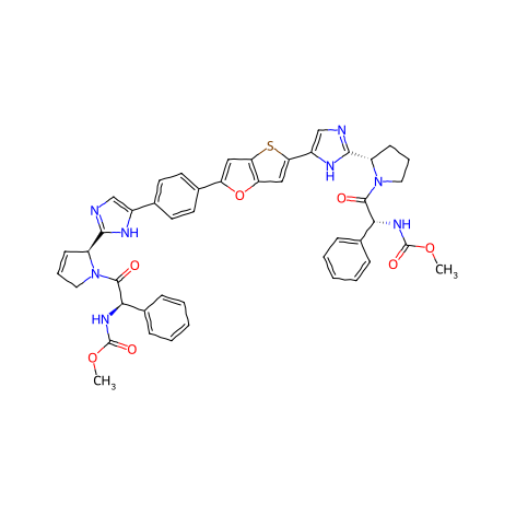 COC(=O)N[C@@H](C(=O)N1CC=C[C@H]1c1ncc(-c2ccc(-c3cc4sc(-c5cnc([C@@H]6CCCN6C(=O)[C@H](NC(=O)OC)c6ccccc6)[nH]5)cc4o3)cc2)[nH]1)c1ccccc1